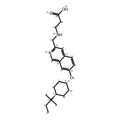 CCC(C)(C)[C@H]1CC[C@H](Oc2ccc3cc(CNCCC(=O)O)ncc3c2)CC1